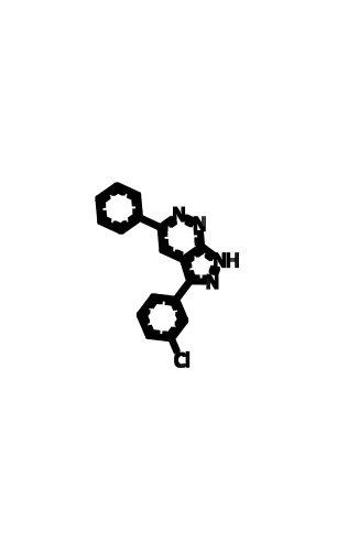 Clc1cccc(-c2n[nH]c3nnc(-c4ccccc4)cc23)c1